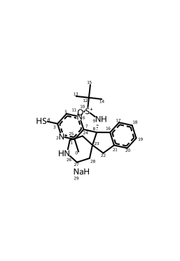 Cc1nc(S)cnc1[C@@]1(N[S+]([O-])C(C)(C)C)c2ccccc2CC12CCNCC2.[NaH]